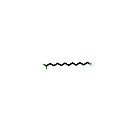 FCCCCCCCCCCCC(F)F